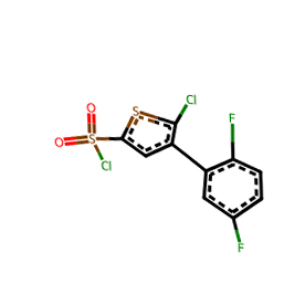 O=S(=O)(Cl)c1cc(-c2cc(F)ccc2F)c(Cl)s1